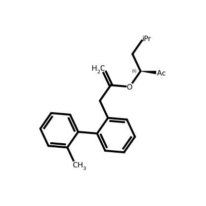 C=C(Cc1ccccc1-c1ccccc1C)O[C@@H](CC(C)C)C(C)=O